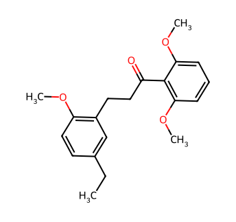 CCc1ccc(OC)c(CCC(=O)c2c(OC)cccc2OC)c1